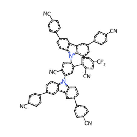 N#Cc1ccc(-c2ccc3c(c2)c2cc(-c4ccc(C#N)cc4)ccc2n3-c2cc(-c3ccc(C(F)(F)F)cc3C#N)c(-n3c4ccc(-c5ccc(C#N)cc5)cc4c4cc(-c5ccc(C#N)cc5)ccc43)cc2C#N)cc1